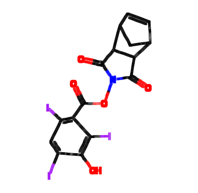 O=C(ON1C(=O)C2C3C=CC(C3)C2C1=O)c1c(I)cc(I)c(O)c1I